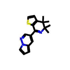 CC1(C)N=C(c2cnn3cccc3c2)c2sccc2C1(C)C